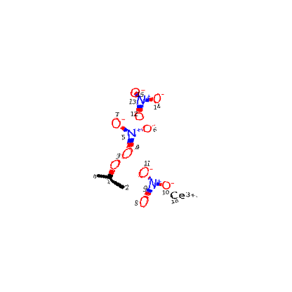 CC(C)=O.O=[N+]([O-])[O-].O=[N+]([O-])[O-].O=[N+]([O-])[O-].[Ce+3]